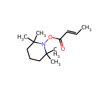 CC=CC(=O)ON1C(C)(C)CCCC1(C)C